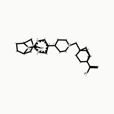 C=C(C(C)C)C12CCC(CN3CCC(c4cnc(N5C6CCC5CN(C(C)C)C6)nc4)CC3)(CC1)CC2